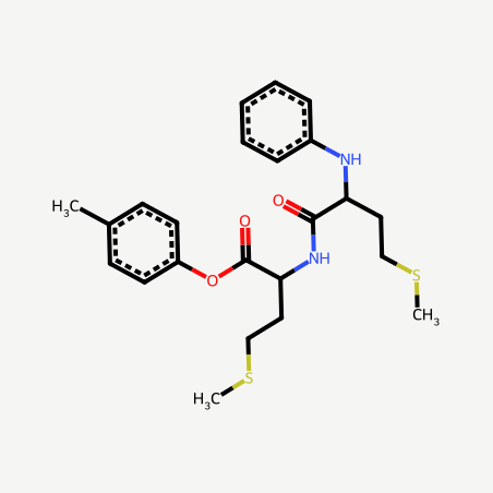 CSCCC(Nc1ccccc1)C(=O)NC(CCSC)C(=O)Oc1ccc(C)cc1